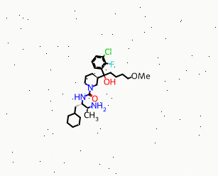 COCCCC[C@@](O)(c1cccc(Cl)c1F)[C@@H]1CCCN(C(=O)N[C@@H](CC2CCCCC2)[C@H](C)N)C1